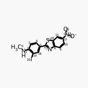 CNc1ccc(-c2nc3ccc([N+](=O)[O-])cc3s2)cc1I